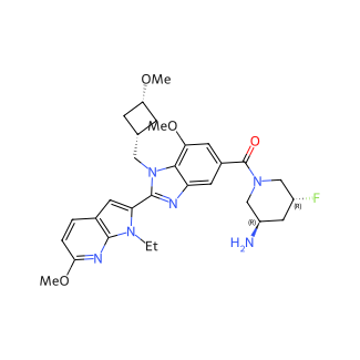 CCn1c(-c2nc3cc(C(=O)N4C[C@H](N)C[C@@H](F)C4)cc(OC)c3n2C[C@H]2C[C@@H](OC)C2)cc2ccc(OC)nc21